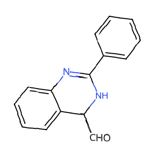 O=CC1NC(c2ccccc2)=Nc2ccccc21